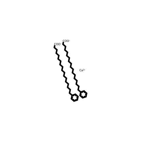 O=C([O-])CCCCCCCCCCCCCCCCCc1ccccc1.O=C([O-])CCCCCCCCCCCCCCCCCc1ccccc1.[Ca+2]